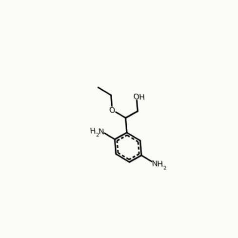 CCOC(CO)c1cc(N)ccc1N